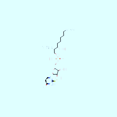 CCCCCCCCCCCCCCC[C@@H](O)[C@H](COP(=O)(O)OC[C@H]1O[C@@H](n2ccc(=O)[nH]c2=S)[C@](C)(O)C1O)NC(C)=O